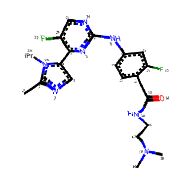 Cc1ncc(-c2nc(Nc3ccc(C(=O)NCCN(C)C)c(F)c3)ncc2F)n1C(C)C